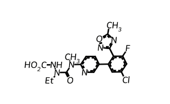 CCN(NC(=O)O)C(=O)N(C)c1ccc(-c2cc(Cl)cc(F)c2-c2noc(C)n2)cn1